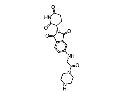 O=C1CCC(N2C(=O)c3ccc(NCC(=O)N4CCNCC4)cc3C2=O)C(=O)N1